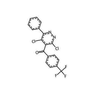 O=C(c1ccc(C(F)(F)F)cc1)c1c(Cl)nnc(-c2ccccc2)c1Cl